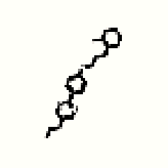 CCCc1cnc(-c2ccc(OCCCC3CCCCC3C)cc2)nc1